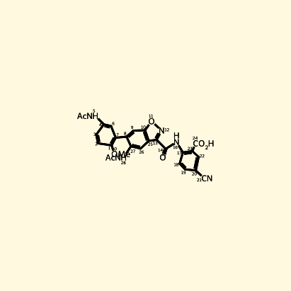 COc1ccc(NC(C)=O)cc1-c1cc2onc(C(=O)Nc3ccc(C#N)cc3C(=O)O)c2cc1NC(C)=O